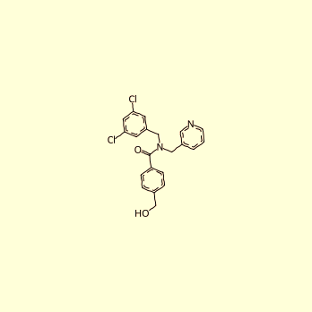 O=C(c1ccc(CO)cc1)N(Cc1cccnc1)Cc1cc(Cl)cc(Cl)c1